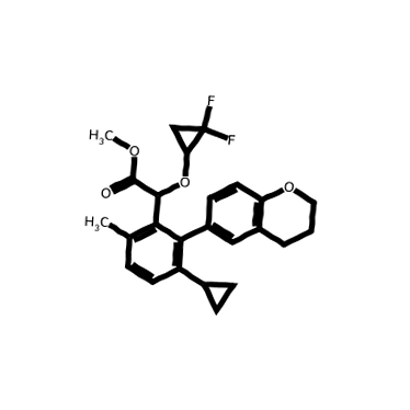 COC(=O)C(OC1CC1(F)F)c1c(C)ccc(C2CC2)c1-c1ccc2c(c1)CCCO2